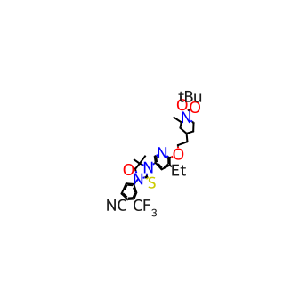 CCc1cc(N2C(=S)N(c3ccc(C#N)c(C(F)(F)F)c3)C(=O)C2(C)C)cnc1OCCC1CCN(C(=O)OC(C)(C)C)C(C)C1